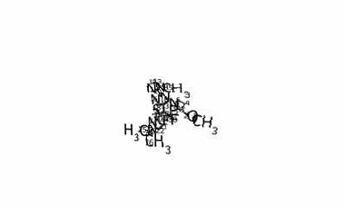 COC[C@@H]1CCN(c2nc(-c3nccn3C)nc3sc(-c4ccn(C(C)C)n4)c(C(F)(F)F)c23)C1